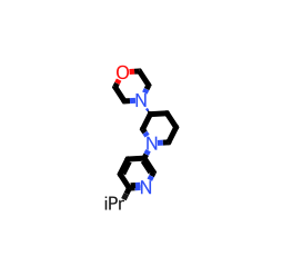 CC(C)c1ccc(N2CCC[C@@H](N3CCOCC3)C2)cn1